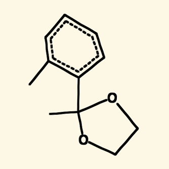 Cc1ccccc1C1(C)OCCO1